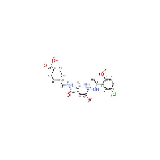 COc1ccc(Cl)cc1[C@H](C)Nc1ncc(C(=O)NCC2CCC(C(=O)O)CC2)cc1Br